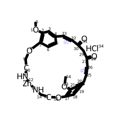 COc1cc2ccc1OCC[NH][Zn][NH]CCOc1ccc(cc1OC)/C=C\C(=O)CC(=O)/C=C\2.Cl